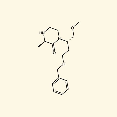 COC[C@H](CCOCc1ccccc1)N1CCN[C@H](C)C1=O